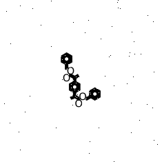 CC(C(=O)OCc1ccccc1)c1ccc(C(C)C(=O)OCc2ccccc2)cc1